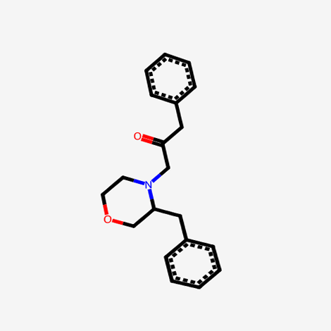 O=C(Cc1ccccc1)CN1CCOCC1Cc1ccccc1